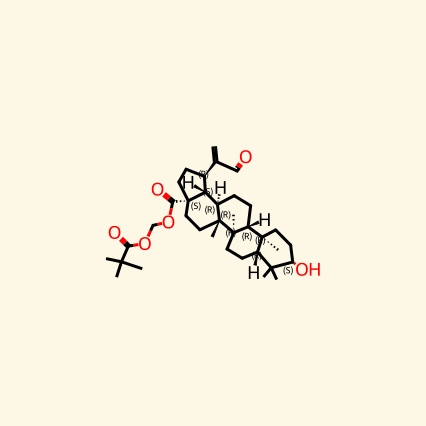 C=C(C=O)[C@@H]1CC[C@]2(C(=O)OCOC(=O)C(C)(C)C)CC[C@]3(C)[C@H](CC[C@@H]4[C@@]5(C)CC[C@H](O)C(C)(C)[C@@H]5CC[C@]43C)[C@@H]12